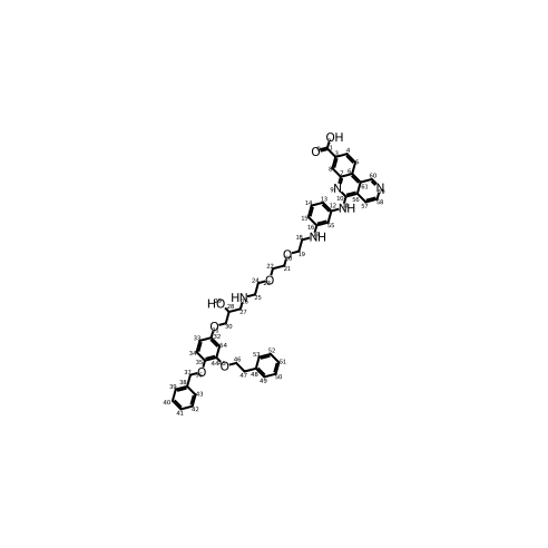 O=C(O)c1ccc2c(c1)nc(Nc1cccc(NCCOCCOCCNCC(O)COc3ccc(OCc4ccccc4)c(OCCc4ccccc4)c3)c1)c1ccncc12